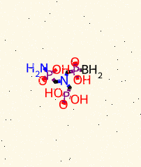 BP(=O)(O)CN(CP(N)(=O)O)CP(=O)(O)O